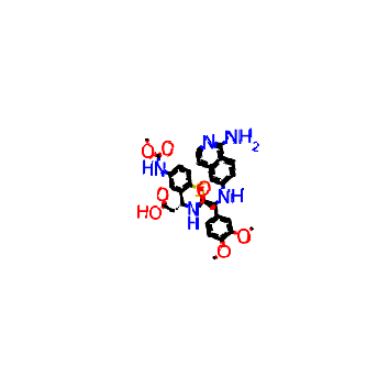 COC(=O)Nc1ccc(SC(C)C)c([C@@H](CC(=O)O)NC(=O)C(Nc2ccc3c(N)nccc3c2)c2ccc(OC)c(OC)c2)c1